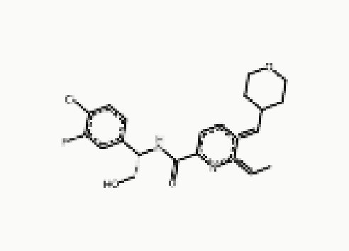 C/C=c1/nc(C(=O)N[C@H](CO)c2ccc(Cl)c(F)c2)ccc1=CC1CCOCC1